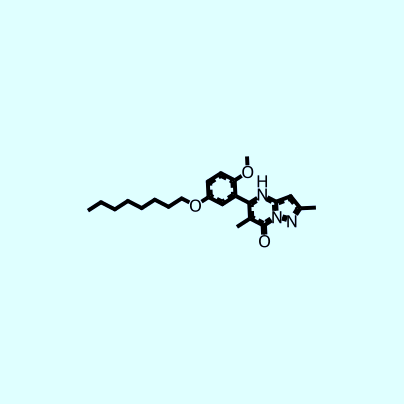 CCCCCCCCOc1ccc(OC)c(-c2[nH]c3cc(C)nn3c(=O)c2C)c1